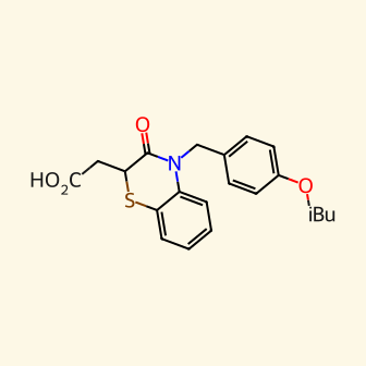 CCC(C)Oc1ccc(CN2C(=O)C(CC(=O)O)Sc3ccccc32)cc1